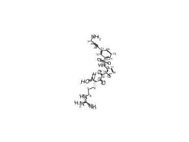 N=C(N)NCCC[C@H](NO)C(=O)C(=O)c1sccc1NS(=O)(=O)c1cccc(C#CCN)c1